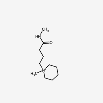 CNC(=O)CCC[N+]1(C)CCCCC1